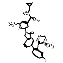 Cc1cc(C(C)NCC2CC2)cc(N2Cc3ccc(-c4ccc(Cl)cc4-c4nncn4C)cc3C2=O)n1